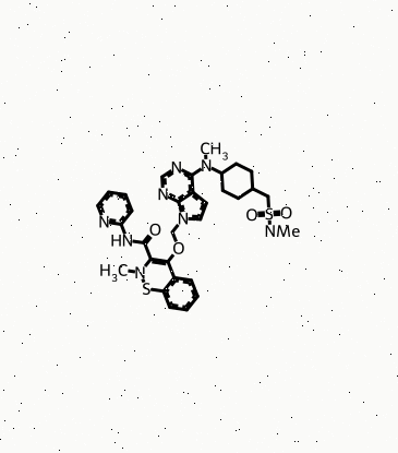 CNS(=O)(=O)CC1CCC(N(C)c2ncnc3c2ccn3COC2=C(C(=O)Nc3ccccn3)N(C)Sc3ccccc32)CC1